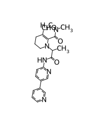 CC(C(=O)Nc1ccc(-c2cccnc2)cn1)N1CCCC(C=O)=C1C(=O)N(C)C